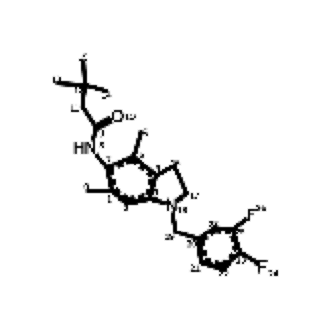 Cc1cc2c(c(C)c1NC(=O)CC(C)(C)C)CCN2Cc1ccc(F)c(F)c1